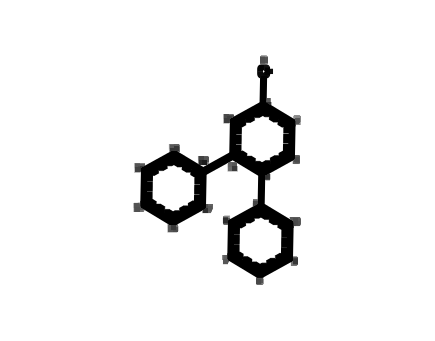 [O]c1ccc(-c2ccccc2)c(-c2ccccc2)c1